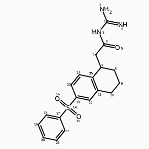 N=C(N)NC(=O)CC1CCCc2cc(S(=O)(=O)c3ccccc3)ccc21